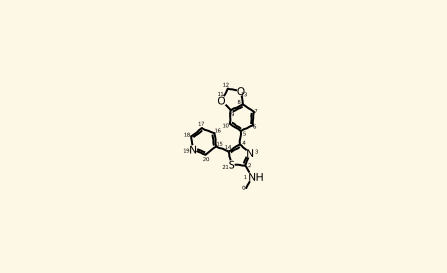 CNc1nc(-c2ccc3c(c2)OCO3)c(-c2cccnc2)s1